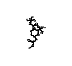 COC(=O)CC1CCN(C(=O)OC(C)(C)C)C(C(F)(F)F)C1